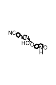 N#Cc1ccc(N2CCN(CC(O)COc3ccc4[nH]c(=O)ccc4c3)CC2)cc1